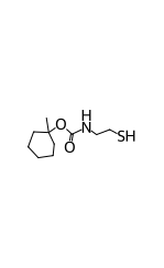 CC1(OC(=O)NCCS)CCCCC1